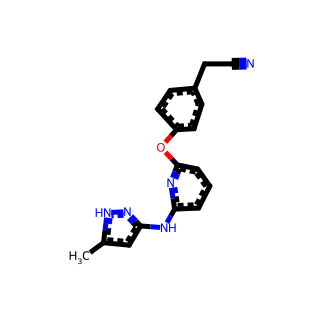 Cc1cc(Nc2cccc(Oc3ccc(CC#N)cc3)n2)n[nH]1